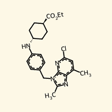 CCOC(=O)[C@H]1CC[C@H](Nc2ccc(Cn3c(C)nc4c(C)cc(Cl)nc43)cc2)CC1